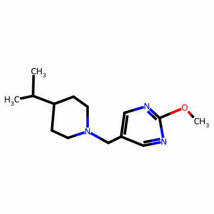 COc1ncc(CN2CCC(C(C)C)CC2)cn1